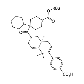 CC(C)(C)OC(=O)N1CCC(C(=O)N2CC=C3C(C)(C)C(c4ccc(C(=O)O)cc4)=CC[C@]3(C)C2)(C2CCCCC2)CC1